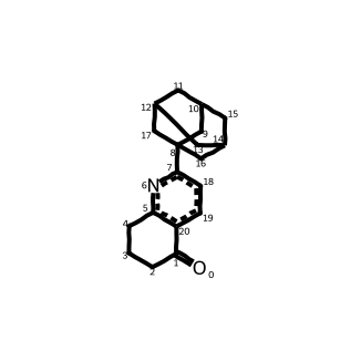 O=C1CCCc2nc(C34CC5CC(CC(C5)C3)C4)ccc21